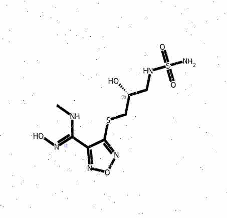 CN/C(=N\O)c1nonc1SC[C@H](O)CNS(N)(=O)=O